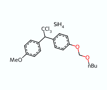 CCCCOCOc1ccc(C(c2ccc(OC)cc2)C(Cl)(Cl)Cl)cc1.[SiH4]